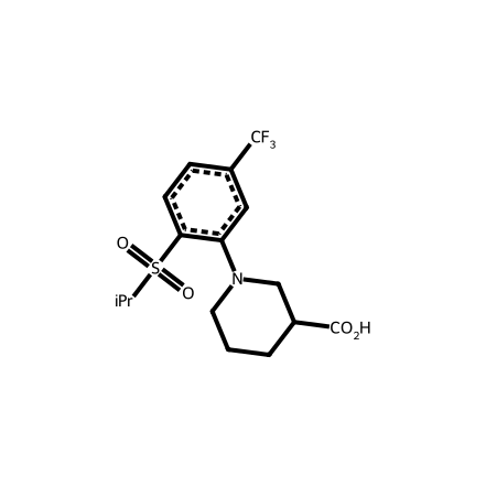 CC(C)S(=O)(=O)c1ccc(C(F)(F)F)cc1N1CCCC(C(=O)O)C1